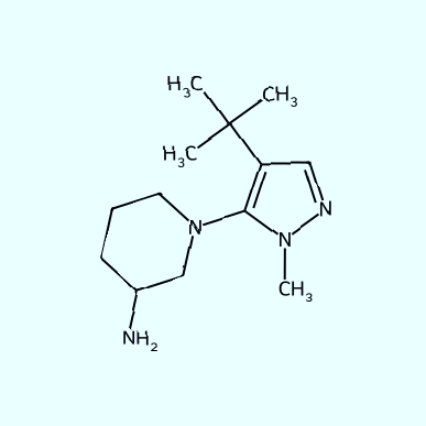 Cn1ncc(C(C)(C)C)c1N1CCCC(N)C1